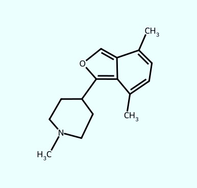 Cc1ccc(C)c2c(C3CCN(C)CC3)occ12